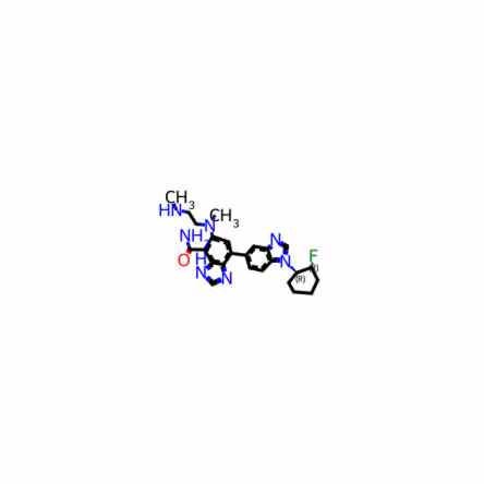 CNCCN(C)c1cc(-c2ccc3c(c2)ncn3[C@@H]2CCCC[C@H]2F)c2nc[nH]c2c1C(N)=O